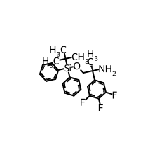 CC(C)(C)[Si](OC[C@](C)(N)c1cc(F)c(F)c(F)c1)(c1ccccc1)c1ccccc1